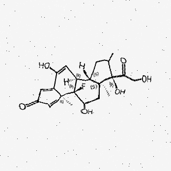 CC1C[C@H]2[C@@H]3C=C(O)C4=CC(=O)C=C[C@]4(C)[C@@]3(F)C(O)C[C@]2(C)[C@@]1(O)C(=O)CO